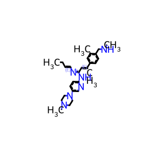 CC/C=C/N=C(\C=C(/C)c1ccc(CNC)c(C)c1)Nc1ccc(N2CCN(C)CC2)cn1